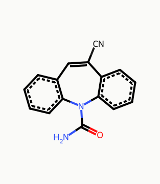 N#CC1=Cc2ccccc2N(C(N)=O)c2ccccc21